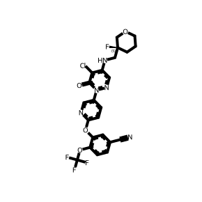 N#Cc1ccc(OC(F)(F)F)c(Oc2ccc(-n3ncc(NC[C@@]4(F)CCCOC4)c(Cl)c3=O)cn2)c1